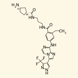 CCc1cc(Nc2nccn3c(-c4c[nH]nc4C(F)(F)F)cnc23)ccc1C(=O)NCCCNC(=O)[C@@H]1CC[C@H](N)C1